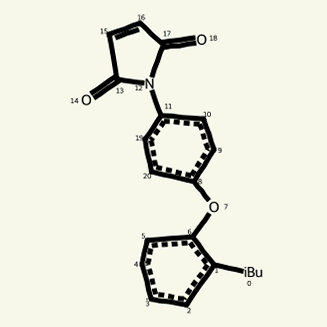 CCC(C)c1c[c]ccc1Oc1ccc(N2C(=O)C=CC2=O)cc1